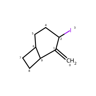 C=C1C(I)CCC2CCC12